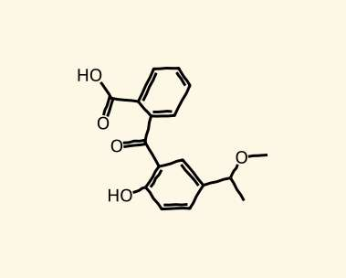 COC(C)c1ccc(O)c(C(=O)c2ccccc2C(=O)O)c1